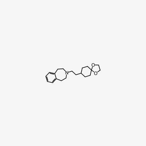 c1ccc2c(c1)CCN(CCC1CCC3(CC1)OCCO3)CC2